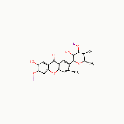 Cc1cc2oc3cc(OI)c(O)cc3c(=O)c2cc1C1OC(C)C(C)C(OI)C1O